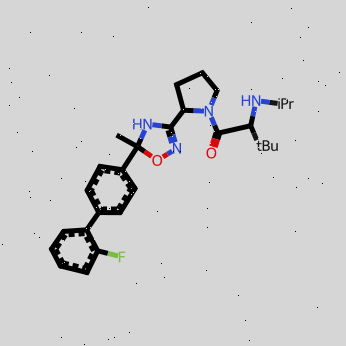 CC(C)NC(C(=O)N1CCCC1C1=NOC(C)(c2ccc(-c3ccccc3F)cc2)N1)C(C)(C)C